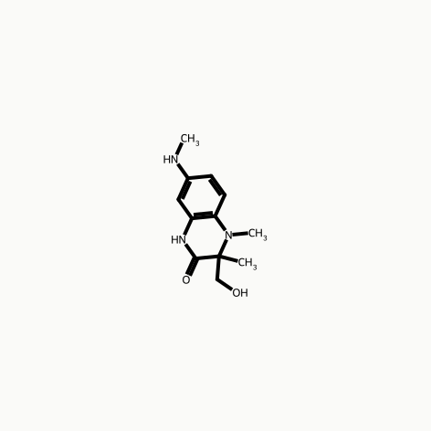 CNc1ccc2c(c1)NC(=O)C(C)(CO)N2C